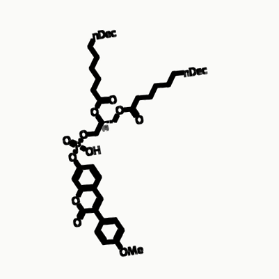 CCCCCCCCCCCCCCCC(=O)OC[C@H](COP(=O)(O)Oc1ccc2cc(-c3ccc(OC)cc3)c(=O)oc2c1)OC(=O)CCCCCCCCCCCCCCC